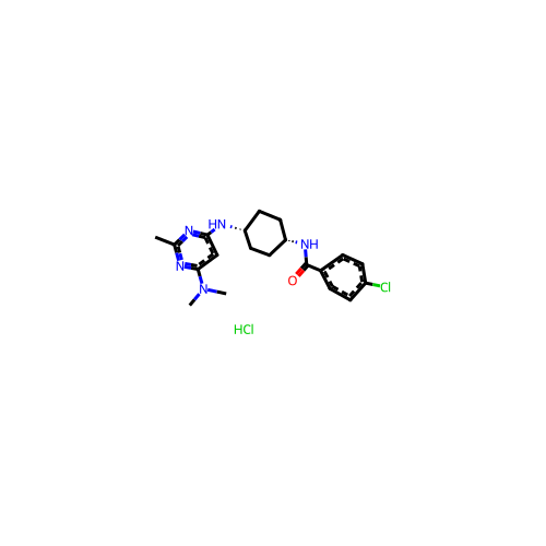 Cc1nc(N[C@H]2CC[C@@H](NC(=O)c3ccc(Cl)cc3)CC2)cc(N(C)C)n1.Cl